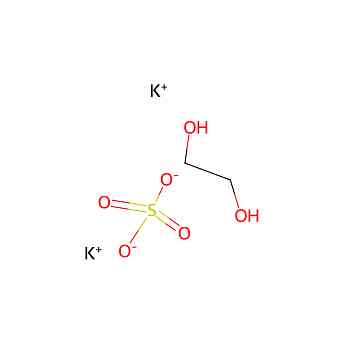 O=S(=O)([O-])[O-].OCCO.[K+].[K+]